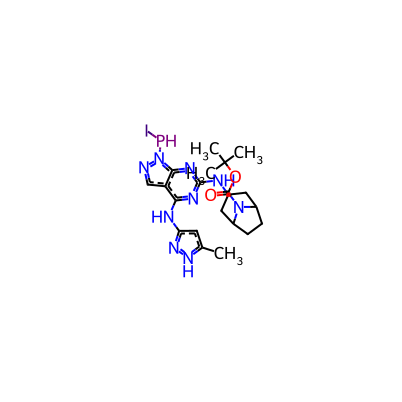 Cc1cc(Nc2nc(NC3CC4CCC(C3)N4C(=O)OC(C)(C)C)nc3c2cnn3PI)n[nH]1